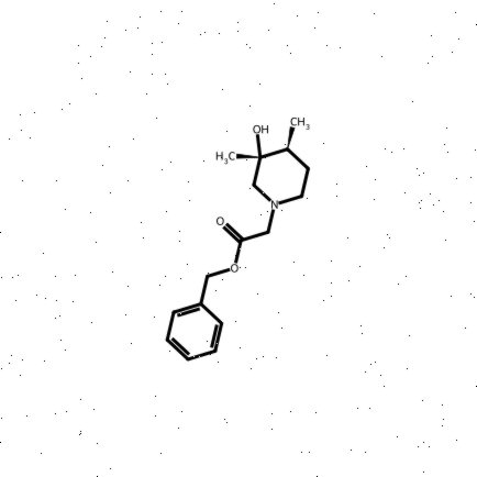 C[C@H]1CCN(CC(=O)OCc2ccccc2)C[C@]1(C)O